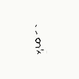 CCOCCOc1ccc(CC(CO)N(C(=O)O)C(C)(C)C)cc1